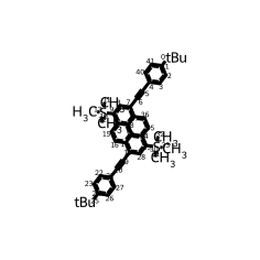 CC(C)(C)c1ccc(C#Cc2cc(S(C)(C)C)c3ccc4c(C#Cc5ccc(C(C)(C)C)cc5)cc(S(C)(C)C)c5ccc2c3c45)cc1